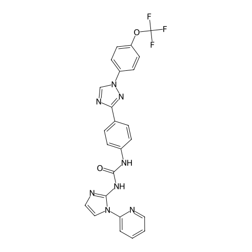 O=C(Nc1ccc(-c2ncn(-c3ccc(OC(F)(F)F)cc3)n2)cc1)Nc1nccn1-c1ccccn1